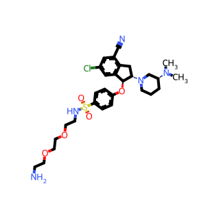 CN(C)[C@@H]1CCCN([C@H]2Cc3c(C#N)cc(Cl)cc3[C@@H]2Oc2ccc(S(=O)(=O)NCCOCCOCCN)cc2)C1